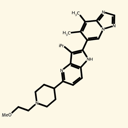 COCCN1CCC(c2ccc3[nH]c(-c4cn5ncnc5c(C)c4C)c(C(C)C)c3n2)CC1